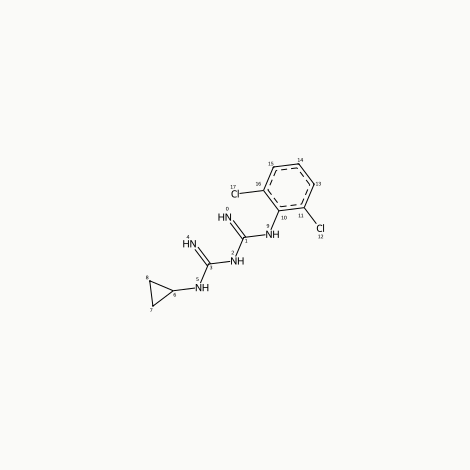 N=C(NC(=N)NC1CC1)Nc1c(Cl)cccc1Cl